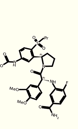 COC(=O)Nc1ccc(S(=O)(=O)C(C)C)c([C@H]2CCCN2C(=O)[C@H](Nc2cc(C(N)=O)ccc2F)c2ccc(OC)c(OC)c2)c1